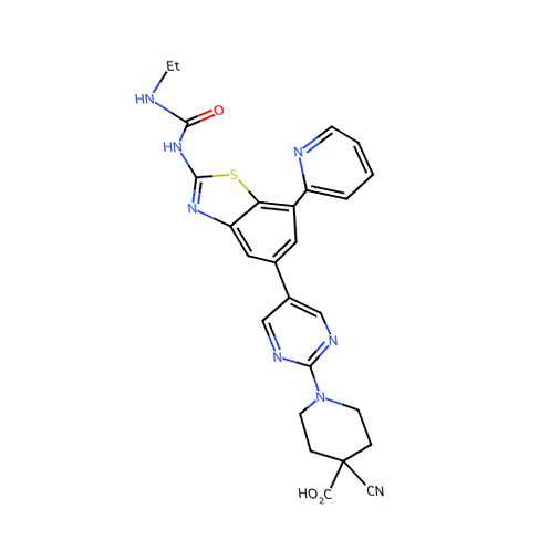 CCNC(=O)Nc1nc2cc(-c3cnc(N4CCC(C#N)(C(=O)O)CC4)nc3)cc(-c3ccccn3)c2s1